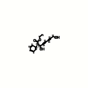 CCOC(=O)N(c1ccccc1)C(O)C#CC#CCO